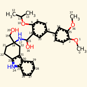 COc1ccc(-c2ccc(OC(C)C)c(C(O)NC3(CO)CCc4[nH]c5ccccc5c4C3)c2)cc1OC